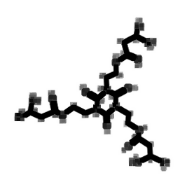 CCC(S)CC(=O)OCCn1c(=O)n(CCOC(=O)CC(S)CC)c(=O)n(CCOC(=O)CC(S)CC)c1=O